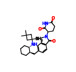 BC1(N[C@H]2CCCC[C@@H]2Cc2ccc3c(c2)CN(C2CCC(=O)NC2=O)C3=O)CC(C)(C)C1